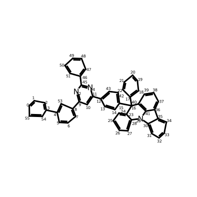 c1ccc(-c2cccc(-c3cc(-c4ccc(C5(c6ccccc6)c6ccccc6-n6c7ccccc7c7cccc5c76)cc4)nc(-c4ccccc4)n3)c2)cc1